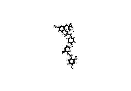 N#CCC1(Cc2cc(Br)cc(F)c2NC(=O)CN2CCC(Oc3ccc(F)c(OCc4ccc(Cl)cc4F)n3)CC2)CC1